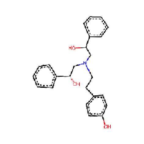 Oc1ccc(CCN(CC(O)c2ccccc2)C[C@H](O)c2ccccc2)cc1